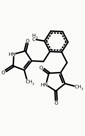 CC1=C(Cc2cccc(C)c2CC2=C(C)C(=O)NC2=O)C(=O)NC1=O